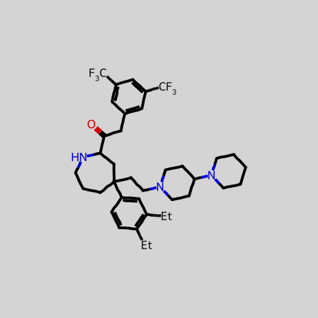 CCc1ccc(C2(CCN3CCC(N4CCCCC4)CC3)CCCNC(C(=O)Cc3cc(C(F)(F)F)cc(C(F)(F)F)c3)C2)cc1CC